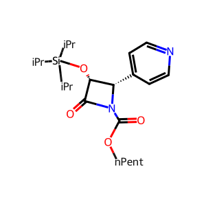 CCCCCOC(=O)N1C(=O)[C@H](O[Si](C(C)C)(C(C)C)C(C)C)[C@@H]1c1ccncc1